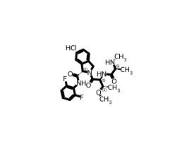 CN[C@@H](C)C(=O)N[C@H](C(=O)N1Cc2ccccc2[C@H]1C(=O)Nc1c(F)cccc1F)[C@H](C)OC.Cl